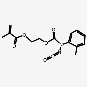 C=C(C)C(=O)OCCOC(=O)N(N=C=O)c1ccccc1C